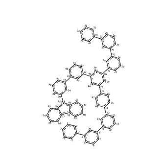 c1ccc(-c2cccc(-c3cccc(-c4ccc(-c5nc(-c6cccc(-c7cccc(-c8ccccc8)c7)c6)nc(-c6cccc(-c7cccc(-n8c9ccccc9c9ccccc98)c7)c6)n5)cc4)c3)c2)cc1